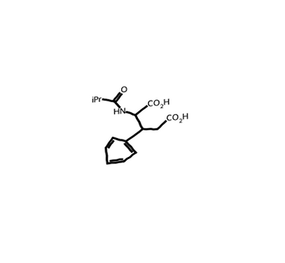 CC(C)C(=O)NC(C(=O)O)C(CC(=O)O)c1ccccc1